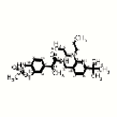 CCCN(CCC)c1nc(C(C)(C)C)ccc1CNC(=O)C(C)c1ccc(NS(C)(=O)=O)c(F)c1